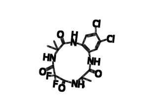 CC1(C)NC(=O)C(F)(F)C(=O)NC(C)(C)C(=O)Nc2cc(Cl)c(Cl)cc2NC1=O